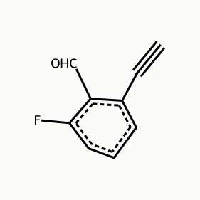 C#Cc1cccc(F)c1C=O